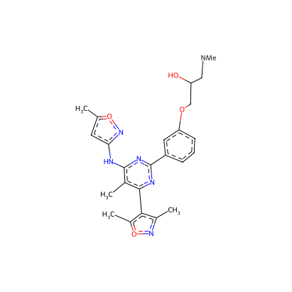 CNCC(O)COc1cccc(-c2nc(Nc3cc(C)on3)c(C)c(-c3c(C)noc3C)n2)c1